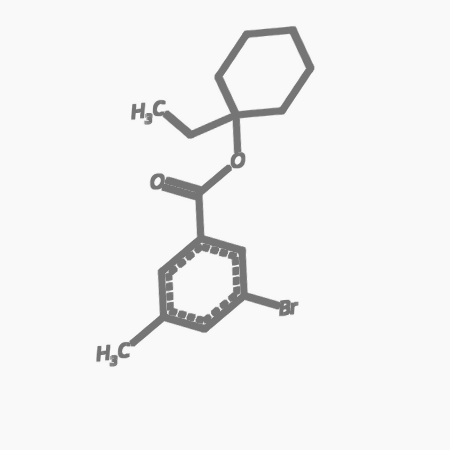 CCC1(OC(=O)c2cc(C)cc(Br)c2)CCCCC1